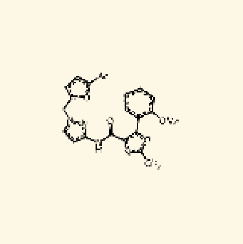 COc1ccccc1-c1oc(C)nc1C(=O)Nc1ccn(Cc2ccc(C(C)=O)o2)n1